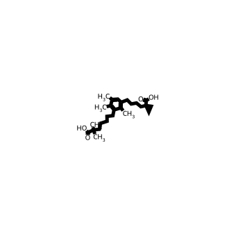 Cc1cc(CCCCC2(C(=O)O)CC2)c(C)c(CCCCCC(C)(C)C(=O)O)c1C